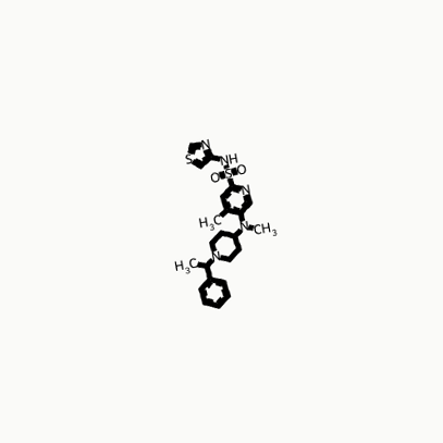 Cc1cc(S(=O)(=O)Nc2cscn2)ncc1N(C)C1CCN(C(C)c2ccccc2)CC1